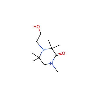 CN1CC(C)(C)N(CCO)C(C)(C)C1=O